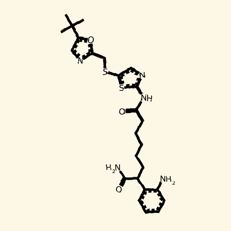 CC(C)(C)c1cnc(CSc2cnc(NC(=O)CCCCCC(C(N)=O)c3ccccc3N)s2)o1